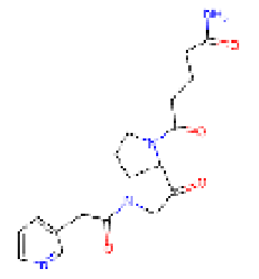 NC(=O)CCCC(=O)N1CCC2C1C(=O)CN2C(=O)Cc1cccnc1